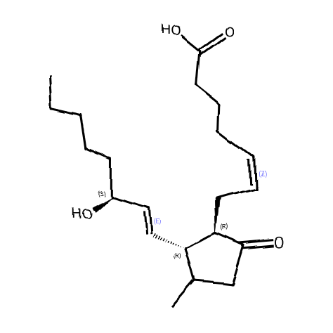 CCCCC[C@H](O)/C=C/[C@H]1C(C)CC(=O)[C@@H]1C/C=C\CCCC(=O)O